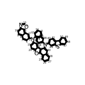 c1ccc(N(c2ccc3ccc4ncoc4c3c2)c2ccc3oc4c5ccccc5cc(N(c5ccccc5)c5ccc6c(c5)sc5ccccc56)c4c3c2)cc1